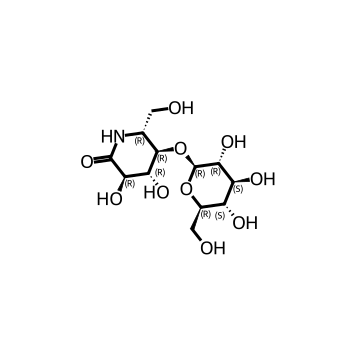 O=C1N[C@H](CO)[C@@H](O[C@@H]2O[C@H](CO)[C@@H](O)[C@H](O)[C@H]2O)[C@H](O)[C@H]1O